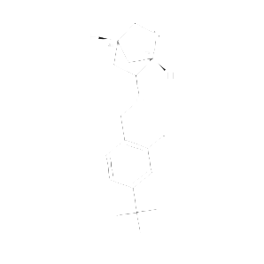 Fc1cc(C(F)(F)F)ccc1COC1C[C@@H]2CN[C@H]1C2